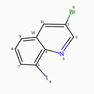 Brc1cnc2c(I)c[c]cc2c1